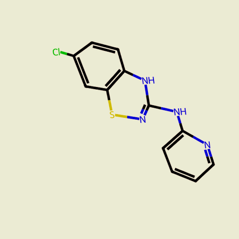 Clc1ccc2c(c1)SN=C(Nc1ccccn1)N2